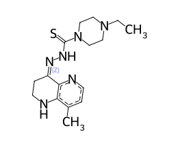 CCN1CCN(C(=S)N/N=C2/CCNc3c(C)ccnc32)CC1